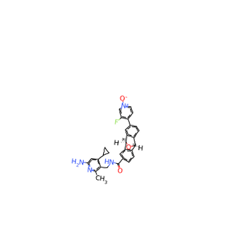 Cc1nc(N)cc(C2CC2)c1CNC(=O)c1ccc2c(c1)[C@@H]1O[C@H]2c2ccc(-c3cc[n+]([O-])cc3F)cc21